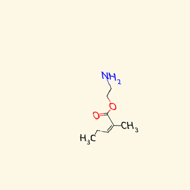 CCC=C(C)C(=O)OCCN